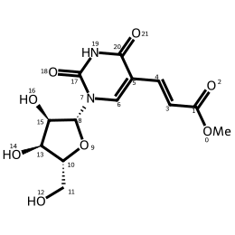 COC(=O)C=Cc1cn([C@@H]2O[C@H](CO)[C@@H](O)[C@H]2O)c(=O)[nH]c1=O